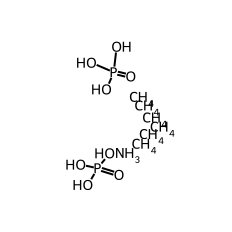 C.C.C.C.C.C.N.O=P(O)(O)O.O=P(O)(O)O